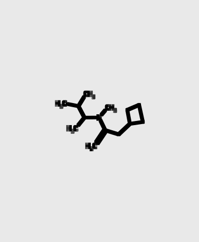 C=C(CC1CCC1)N(C)C(C)C(C)C